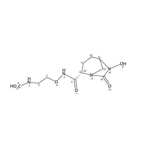 O=C(O)NCCONC(=O)[C@@H]1CCC2CN1C(=O)N2O